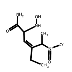 CCC(=CC(NO)C(N)=O)C(C)[N+](=O)[O-]